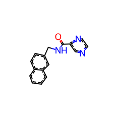 O=C(NCc1ccc2ccccc2c1)c1cnccn1